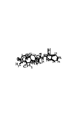 CC1=C2N(C)C(=O)CC[C@]2(C)[C@H]2CC[C@]3(C)[C@@H](C(=O)NCc4nc5ccccc5[nH]4)CC[C@H]3[C@@H]2C1